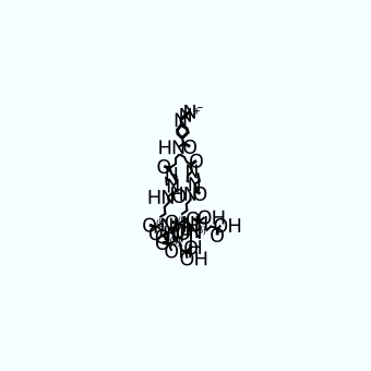 [N-]=[N+]=Nc1ccc(C(=O)NC(CCC(=O)N2CCN(C(=O)NCCCC[C@H](NC(=O)N[C@@H](CCC(=O)O)C(=O)O)C(=O)O)CC2)CCC(=O)N2CCN(C(=O)NCCCC[C@H](NC(=O)N[C@@H](CCC(=O)O)C(=O)O)C(=O)O)CC2)cc1